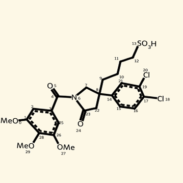 COc1cc(C(=O)N2CC(CCCCS(=O)(=O)O)(c3ccc(Cl)c(Cl)c3)CC2=O)cc(OC)c1OC